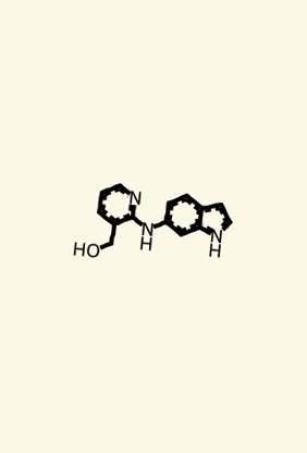 OCc1cccnc1Nc1ccc2cc[nH]c2c1